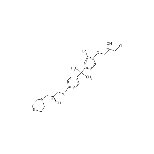 CC(C)(c1ccc(OC[C@@H](O)CN2CCSCC2)cc1)c1ccc(OC[C@H](O)CCl)c(Br)c1